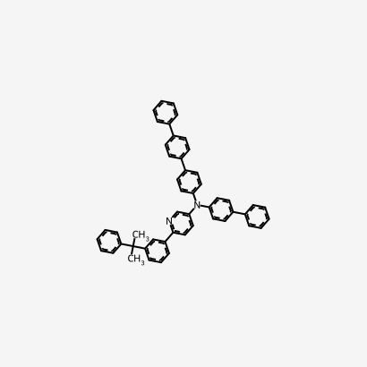 CC(C)(c1ccccc1)c1cccc(-c2ccc(N(c3ccc(-c4ccccc4)cc3)c3ccc(-c4ccc(-c5ccccc5)cc4)cc3)cn2)c1